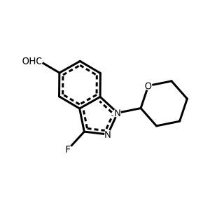 O=Cc1ccc2c(c1)c(F)nn2C1CCCCO1